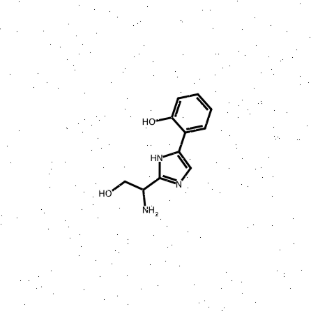 NC(CO)c1ncc(-c2ccccc2O)[nH]1